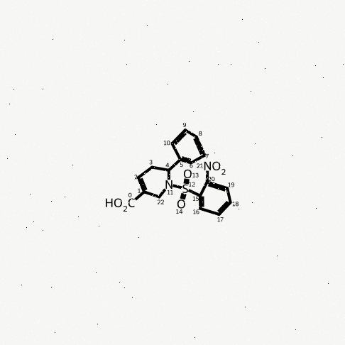 O=C(O)C1=CCC(c2ccccc2)N(S(=O)(=O)c2ccccc2[N+](=O)[O-])C1